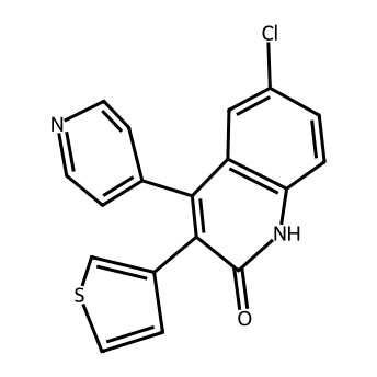 O=c1[nH]c2ccc(Cl)cc2c(-c2ccncc2)c1-c1ccsc1